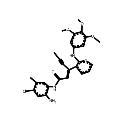 CC#C/C(=C\C(=O)Nc1cc(C)c(Cl)cc1N)c1cccnc1Nc1cc(OC)c(OC)c(OC)c1